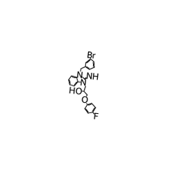 N=c1n(Cc2cccc(Br)c2)c2ccccc2n1CC(O)COc1ccc(F)cc1